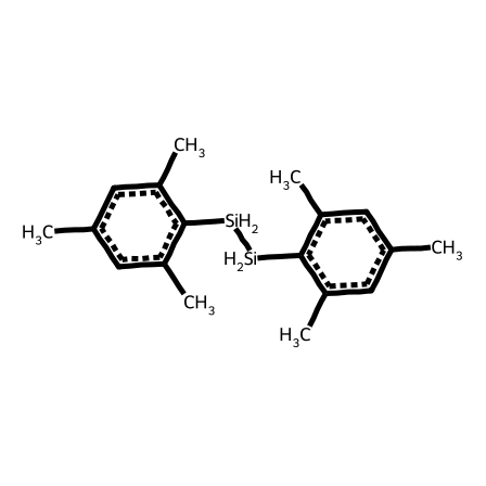 Cc1cc(C)c([SiH2][SiH2]c2c(C)cc(C)cc2C)c(C)c1